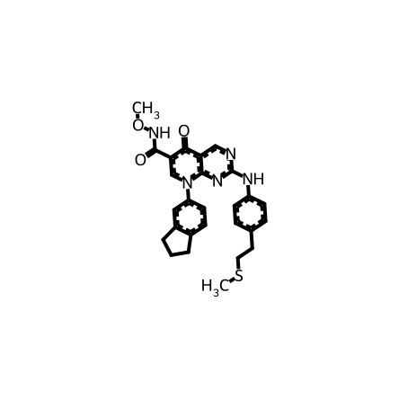 CONC(=O)c1cn(-c2ccc3c(c2)CCC3)c2nc(Nc3ccc(CCSC)cc3)ncc2c1=O